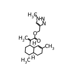 C=C(C(=O)OCc1cn(C)nn1)[C@@H]1CC[C@@H](C)[C@@H]2CCC(C)=C[C@@H]21